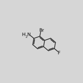 Nc1ccc2cc(F)ccc2c1Br